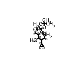 CC(C)(C)OC(=O)NC(CO)C(O)C(CN)C1CC1